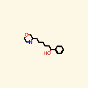 OC(CCCCCC1COCC[N]1)c1ccccc1